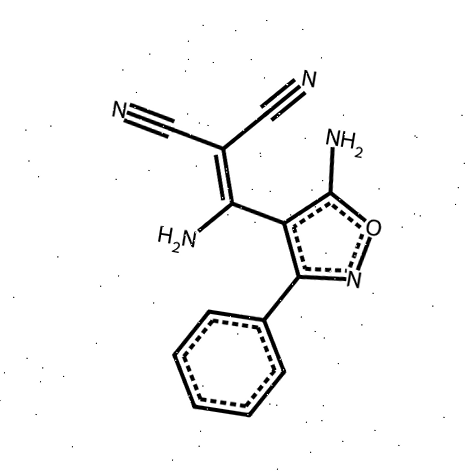 N#CC(C#N)=C(N)c1c(-c2ccccc2)noc1N